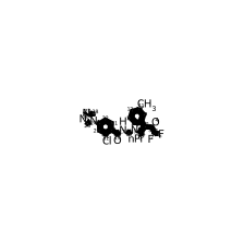 CCCc1c(C(=O)C(F)F)c2cc(C)ccc2n1CNC(=O)c1ccc(-n2cnnc2)cc1Cl